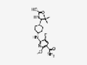 COc1nc(N[C@H]2CC[C@H](C(NC(=O)O)C(C)(C)C)CC2)c(F)cc1C(N)=O